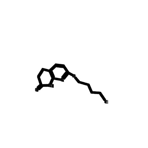 O=C1CCc2ccc(OCCCCCl)nc2N1